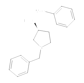 COc1ccccc1[C@@H]1CN(Cc2ccccc2)C[C@H]1C(=O)O